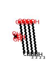 CCCCCCCCCCCCCCCCCCCCCC(=O)O.CCCCCCCCCCCCCCCCCCCCCC(=O)O.CCCCCCCCCCCCCCCCCCCCCC(=O)O.CCCCCCCCCCCCCCCCCCCCCC(=O)O.OCC(CO)(CO)CO